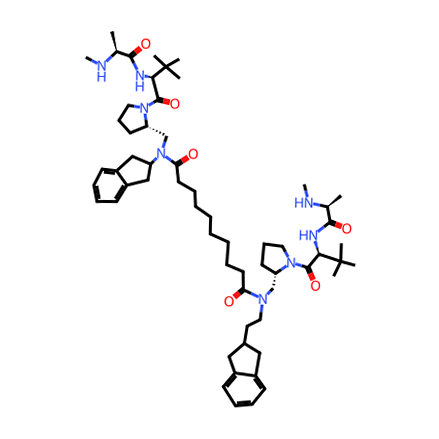 CN[C@@H](C)C(=O)N[C@H](C(=O)N1CCC[C@H]1CN(CCC1Cc2ccccc2C1)C(=O)CCCCCCCCC(=O)N(C[C@@H]1CCCN1C(=O)[C@@H](NC(=O)[C@H](C)NC)C(C)(C)C)C1Cc2ccccc2C1)C(C)(C)C